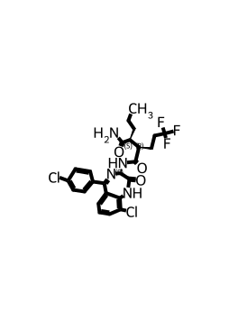 CCC[C@H](C(N)=O)[C@@H](CCC(F)(F)F)C(=O)N[C@H]1N=C(c2ccc(Cl)cc2)c2cccc(Cl)c2NC1=O